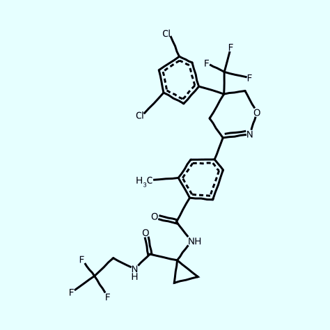 Cc1cc(C2=NOCC(c3cc(Cl)cc(Cl)c3)(C(F)(F)F)C2)ccc1C(=O)NC1(C(=O)NCC(F)(F)F)CC1